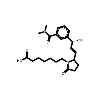 CN(C)C(=O)c1cccc([C@H](O)/C=C/C2CCC(=O)N2CCCCCCC(=O)O)c1